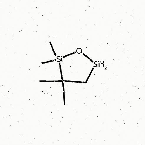 CC1(C)C[SiH2]O[Si]1(C)C